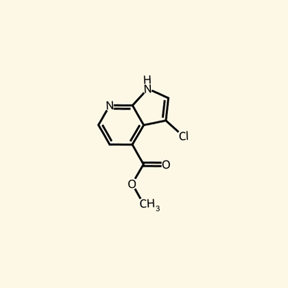 COC(=O)c1ccnc2[nH]cc(Cl)c12